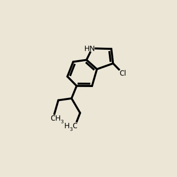 CCC(CC)c1ccc2[nH]cc(Cl)c2c1